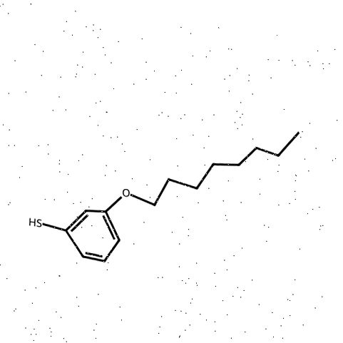 CCCCCCCCOc1cccc(S)c1